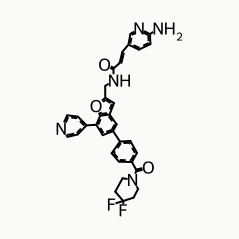 Nc1ccc(/C=C/C(=O)NCc2cc3cc(-c4ccc(C(=O)N5CCC(F)(F)CC5)cc4)cc(-c4ccncc4)c3o2)cn1